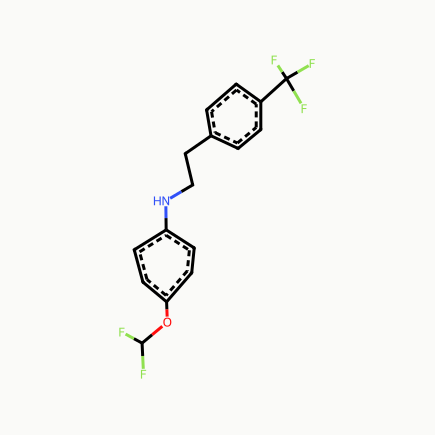 FC(F)Oc1ccc(NCCc2ccc(C(F)(F)F)cc2)cc1